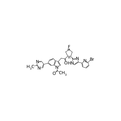 CC(=O)n1cc(CC(=O)C2C[C@H](F)C[C@H]2c2nc(-c3cccc(Br)n3)c[nH]2)c2ccc(-c3cnc(C)nc3)cc21